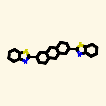 c1ccc2sc(-c3ccc4cc5cc(-c6nc7ccccc7s6)ccc5cc4c3)nc2c1